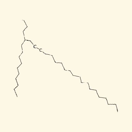 [CH2]CCC(CCCCCCCCCC)CCCCCCCCCCCCCCCCCCCC